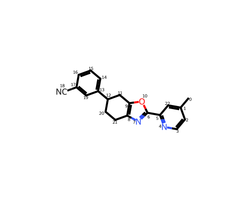 Cc1ccnc(-c2nc3c(o2)CC(c2cccc(C#N)c2)CC3)c1